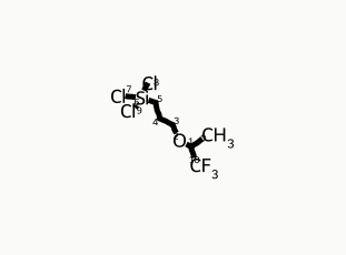 CC(OCCC[Si](Cl)(Cl)Cl)C(F)(F)F